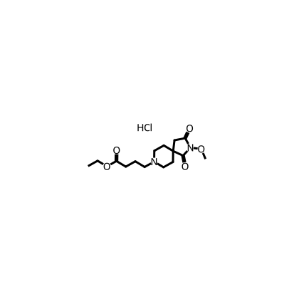 CCOC(=O)CCCN1CCC2(CC1)CC(=O)N(OC)C2=O.Cl